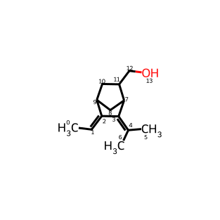 CC=C1C(=C(C)C)C2CC1CC2CO